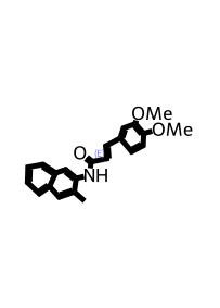 COc1ccc(/C=C/C(=O)Nc2cc3ccccc3cc2C)cc1OC